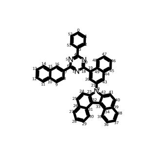 c1ccc(-c2nc(-c3ccc4ccccc4c3)nc(-c3cc(-n4c5ccc6ccccc6c5c5c6ccccc6ccc54)cc4ccccc34)n2)cc1